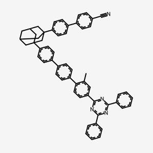 Cc1cc(-c2nc(-c3ccccc3)nc(-c3ccccc3)n2)ccc1-c1ccc(-c2ccc(C34CC5CC(CC(c6ccc(-c7ccc(C#N)cc7)cc6)(C5)C3)C4)cc2)cc1